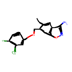 Cc1cc2c(N)noc2cc1COc1ccc(Cl)c(Cl)c1